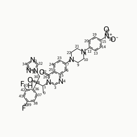 CC(n1cnc2cc(N3CCN(c4ccc([N+](=O)[O-])cc4)CC3)ccc2c1=O)C(O)(Cn1cncn1)c1ccc(F)cc1F